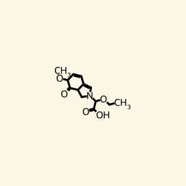 CCOC(C(=O)O)N1C=C2C=CC(OC)C(=O)C2C1